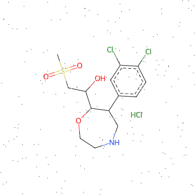 CS(=O)(=O)CC(O)C1OCCNCC1c1ccc(Cl)c(Cl)c1.Cl